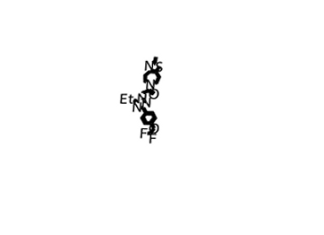 CCc1nc(-c2ccc(OC(F)F)cc2)nn1CC(=O)N1CCc2nc(C)sc2CC1